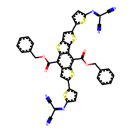 N#CC(C#N)=Nc1ccc(-c2cc3c(C(=O)OCc4ccccc4)c4sc5cc(-c6ccc(N=C(C#N)C#N)s6)sc5c4c(C(=O)OCc4ccccc4)c3s2)s1